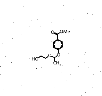 COC(=O)c1ccc(OC(C)OCCO)cc1